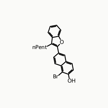 CCCCCc1c(-c2ccc3c(Br)c(O)ccc3c2)oc2ccccc12